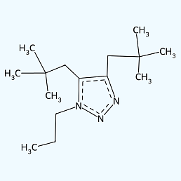 CCCn1nnc(CC(C)(C)C)c1CC(C)(C)C